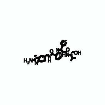 CC(C)[C@@H](CO)NC(=O)c1c(-c2ccsc2)nc2c(C(=O)NCc3ccc4nc(N)sc4c3)cccn12